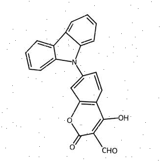 O=Cc1c(O)c2ccc(-n3c4ccccc4c4ccccc43)cc2oc1=O